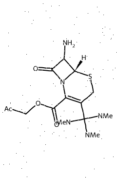 CNC(NC)(NC)C1=C(C(=O)OCC(C)=O)N2C(=O)C(N)[C@@H]2SC1